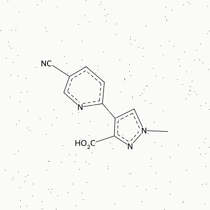 Cn1cc(-c2ccc(C#N)cn2)c(C(=O)O)n1